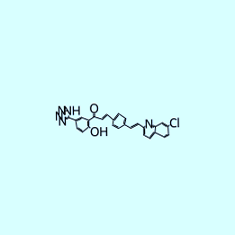 O=C(/C=C/c1ccc(/C=C/c2ccc3ccc(Cl)cc3n2)cc1)c1cc(-c2nnn[nH]2)ccc1O